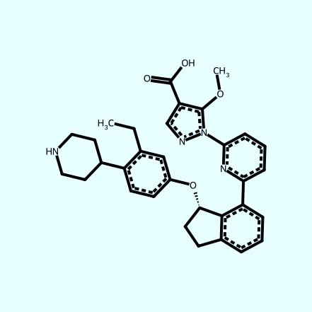 CCc1cc(O[C@H]2CCc3cccc(-c4cccc(-n5ncc(C(=O)O)c5OC)n4)c32)ccc1C1CCNCC1